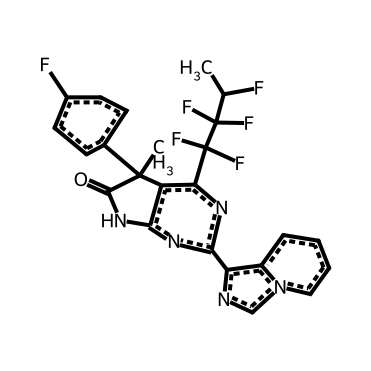 CC(F)C(F)(F)C(F)(F)c1nc(-c2ncn3ccccc23)nc2c1C(C)(c1ccc(F)cc1)C(=O)N2